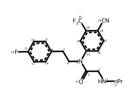 CCCNCC(=O)N(CCc1ccc(F)cc1)c1ccc(C#N)c(C(F)(F)F)c1